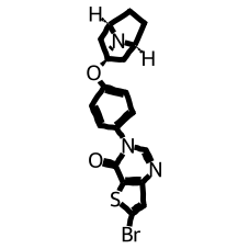 CN1[C@@H]2CC[C@H]1C[C@@H](Oc1ccc(-n3cnc4cc(Br)sc4c3=O)cc1)C2